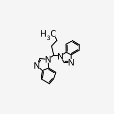 CCCC(n1cnc2ccccc21)n1cnc2ccccc21